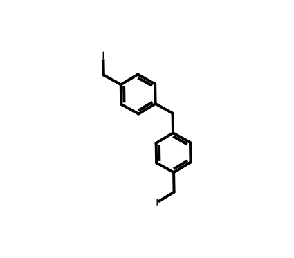 ICc1ccc(Cc2ccc(CI)cc2)cc1